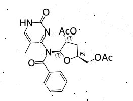 CC(=O)OC[C@@H]1C[C@@H](OC(C)=O)[C@H](N(C(=O)c2ccccc2)c2nc(=O)[nH]cc2C)O1